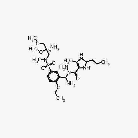 CCCC1NC(C)=C(C(=O)N(N)C(N)c2cc(S(=O)(=O)N(C)C[C@](N)(COC)OC)ccc2OCC)N1